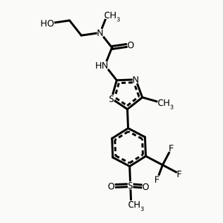 Cc1nc(NC(=O)N(C)CCO)sc1-c1ccc(S(C)(=O)=O)c(C(F)(F)F)c1